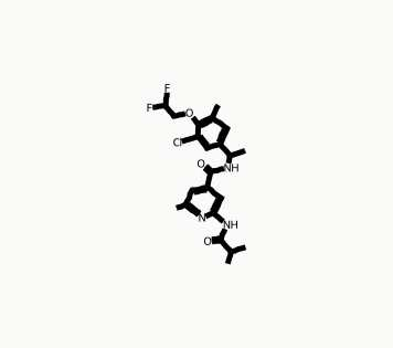 Cc1cc(C(=O)NC(C)c2cc(C)c(OCC(F)F)c(Cl)c2)cc(NC(=O)C(C)C)n1